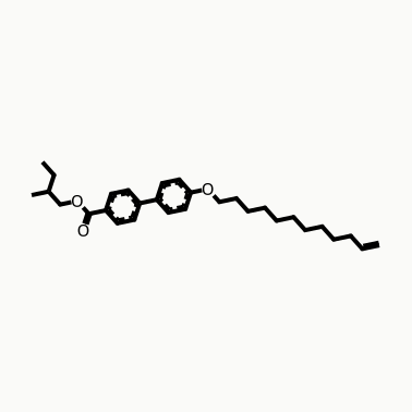 C=CCCCCCCCCCCOc1ccc(-c2ccc(C(=O)OCC(C)CC)cc2)cc1